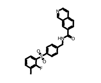 Cc1cccc(S(=O)(=O)c2ccc(CNC(=O)c3ccc4ccncc4c3)cc2)c1F